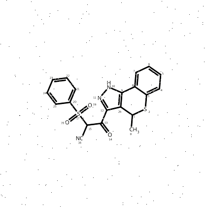 CC1Sc2ccccc2-c2[nH]nc(C(=O)C(C#N)S(=O)(=O)c3ccccc3)c21